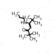 CCCN/C(=C\C(=O)C(C)(C)C)C(C)(C)C